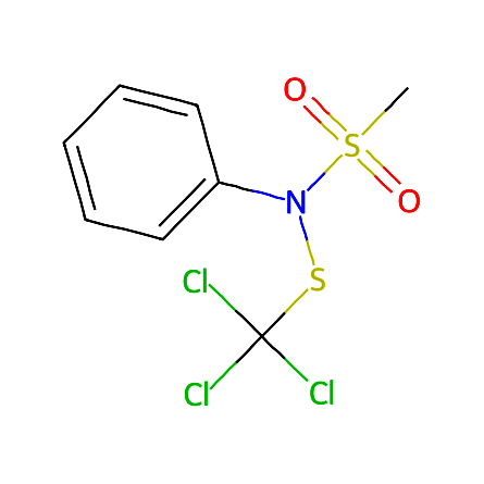 CS(=O)(=O)N(SC(Cl)(Cl)Cl)c1ccccc1